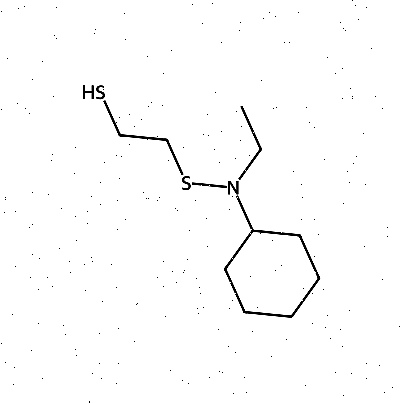 CCN(SCCS)C1CCCCC1